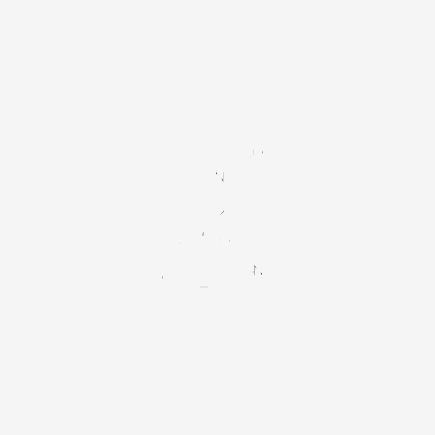 N#Cc1ccc(Cl)cc1O[C@H](CCN1CC[C@@H](O)C1)c1ccccc1